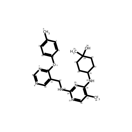 Cc1ccc(Oc2ncncc2CNc2ncc(C(F)(F)F)c(NC3CCC(C)(O)CC3)n2)cc1